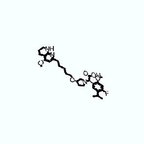 COc1cc(F)c(C(C)C)cc1[C@H](C(=O)O)N1CC[C@@H](OCCCCCc2cc(OC)c3c(n2)NCCC3)C1